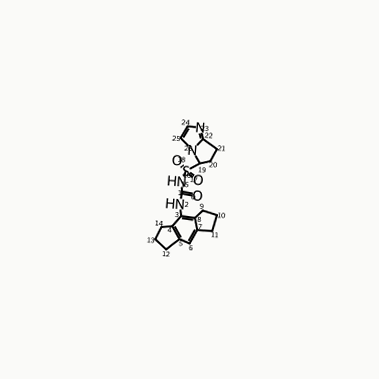 O=C(Nc1c2c(cc3c1CCC3)CCC2)NS(=O)(=O)C1CCc2nccn21